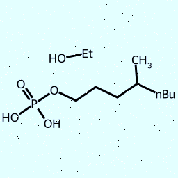 CCCCC(C)CCCOP(=O)(O)O.CCO